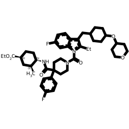 CCOC(=O)[C@H]1CC[C@H](NC(=O)C2(c3ccc(F)cc3)CCN(C(=O)n3c(CC)c(CC4CCC(OC5CCOCC5)CC4)c4ccc(F)cc43)CC2)[C@@H](C)C1